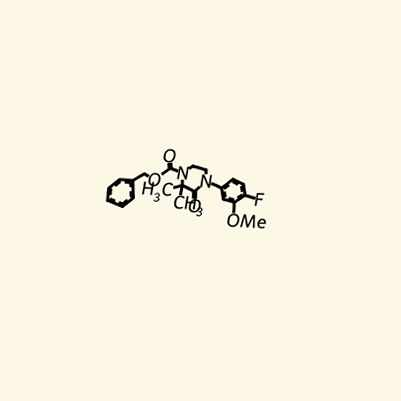 COc1cc(N2CCN(C(=O)OCc3ccccc3)C(C)(C)C2=O)ccc1F